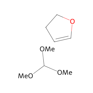 C1=COCC1.COC(OC)OC